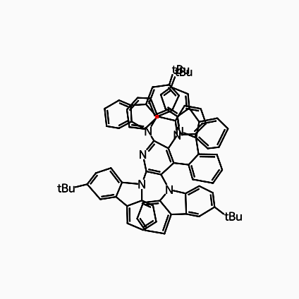 CC(C)(C)c1ccc2c(c1)c1ccccc1n2-c1nc(-n2c3ccccc3c3cc(C(C)(C)C)ccc32)c(-n2c3ccccc3c3cc(C(C)(C)C)ccc32)c(-c2ccccc2-c2cccc(-c3ccccc3)n2)c1-n1c2ccccc2c2cc(C(C)(C)C)ccc21